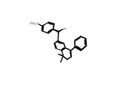 CCOC(=O)c1ccc(C(C(C)=O)c2ccc3c(c2)C(c2ccccc2)=CCC3(C)C)cc1